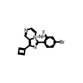 N[N+]12C=CN=CC1=C(C1=CC=C1)N=C2c1ccc(Br)cc1F